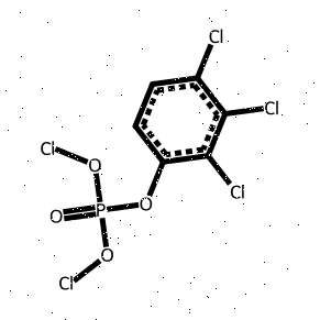 O=P(OCl)(OCl)Oc1ccc(Cl)c(Cl)c1Cl